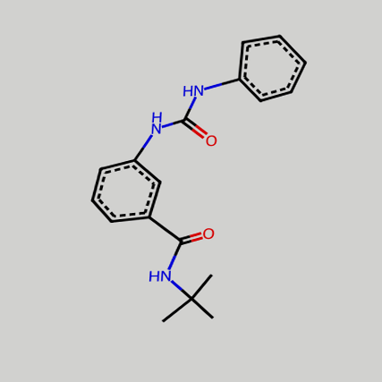 CC(C)(C)NC(=O)c1cccc(NC(=O)Nc2ccccc2)c1